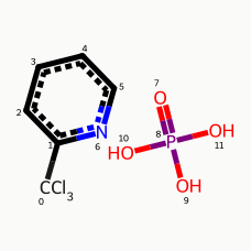 ClC(Cl)(Cl)c1ccccn1.O=P(O)(O)O